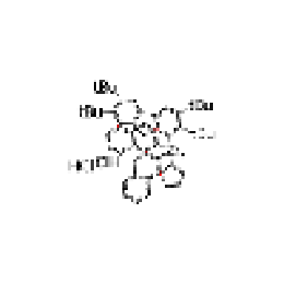 Cl.Cl.[CH2]=[Zr]([C]1=CC=CC1)([c]1ccc2ccccc2c1)([c]1ccc2ccccc2c1)[c]1c2c(cc(C(C)(C)C)c1C(C)(C)C)-c1cc(C(C)(C)C)c(C(C)(C)C)cc1C2